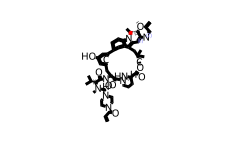 C=C/C=N\C(=C\c1c2c3cc(ccc3n1CC)-c1cc(O)cc(c1)C[C@H](NC(=O)[C@H](C(C)C)N(C)C(=O)N1CCN(C(=O)C=C)CC1)C(=O)N1CCC[C@H](N1)C(=O)OCC(C)(C)C2)[C@H](C)OC